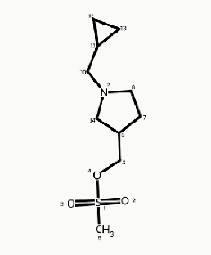 CS(=O)(=O)OCC1CCN(CC2CC2)C1